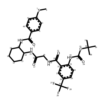 CSc1ccc(C(=O)NC2CCCCC2NC(=O)CNC(=O)c2cc(C(F)(F)F)ccc2NC(=O)OC(C)(C)C)cc1